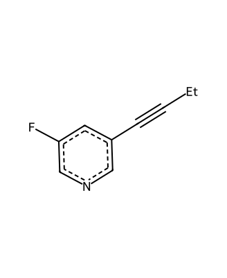 CCC#Cc1cncc(F)c1